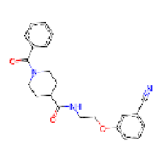 N#Cc1cccc(OCCNC(=O)C2CCN(C(=O)c3ccccc3)CC2)c1